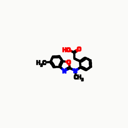 Cc1ccc2oc(N(C)c3ccccc3CC(=O)O)nc2c1